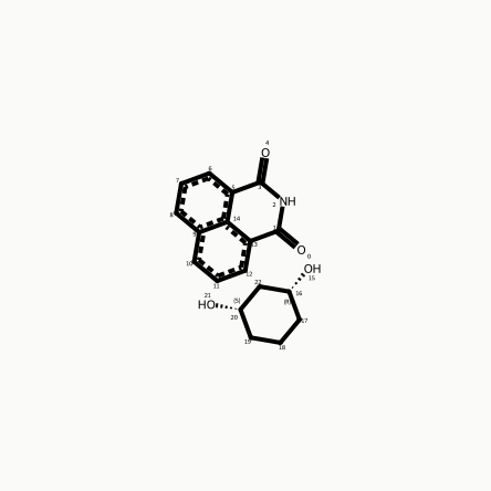 O=C1NC(=O)c2cccc3cccc1c23.O[C@@H]1CCC[C@H](O)C1